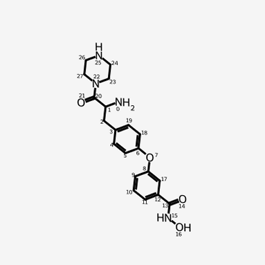 NC(Cc1ccc(Oc2cccc(C(=O)NO)c2)cc1)C(=O)N1CCNCC1